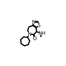 CNC1C(=O)N(C2CCCCCC2)CCc2ncsc21